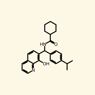 CC(C)c1ccc(C(NC(=O)C2CCCCC2)c2ccc3cccnc3c2O)cc1